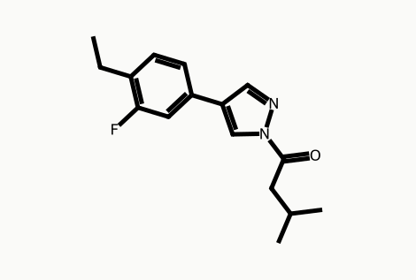 CCc1ccc(-c2cnn(C(=O)CC(C)C)c2)cc1F